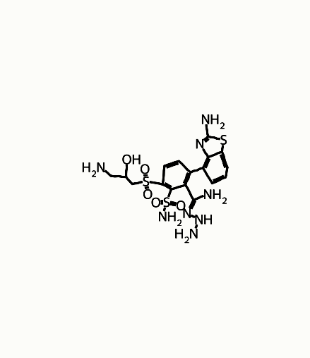 NCC(O)CS(=O)(=O)c1ccc(-c2cccc3sc(N)nc23)c(/C(N)=N/NN)c1S(N)(=O)=O